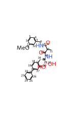 COc1cccc(CNC(=O)C(C)C(=O)N[C@@H](Cc2ccc(-c3ccccc3)cc2)B(O)O)c1